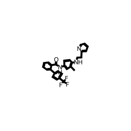 Cc1cc(NC(=O)c2ccccc2-c2ccc(C(F)(F)F)cc2)ccc1NCCc1ccccn1